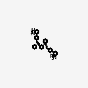 C(=C\N(c1ccccc1)c1cccc(N(/C=C/c2ccc(-c3cccc4nsnc34)cc2)c2ccccc2)c1)/c1ccc(-c2cccc3nsnc23)cc1